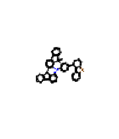 CC1(C)c2ccccc2-c2ccc3c(c21)N(c1ccc(-c2cccc4sc5ccccc5c24)cc1)c1cccc2c1[C@@]3(C)c1ccccc1-2